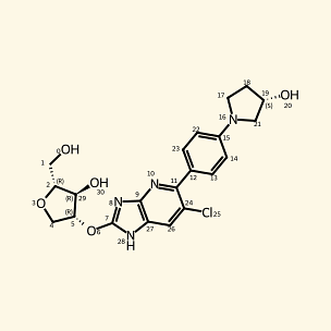 OC[C@H]1OC[C@@H](Oc2nc3nc(-c4ccc(N5CC[C@H](O)C5)cc4)c(Cl)cc3[nH]2)[C@@H]1O